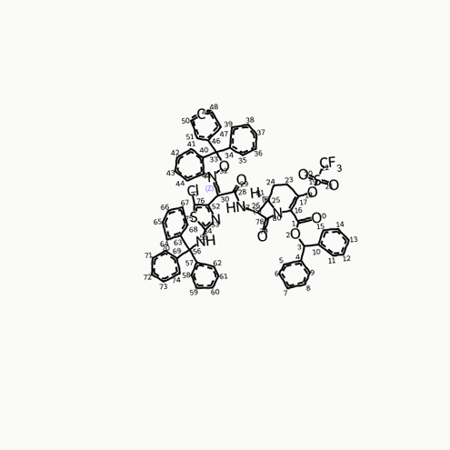 O=C(OC(c1ccccc1)c1ccccc1)C1=C(OS(=O)(=O)C(F)(F)F)CC[C@@H]2[C@H](NC(=O)/C(=N\OC(c3ccccc3)(c3ccccc3)c3ccccc3)c3nc(NC(c4ccccc4)(c4ccccc4)c4ccccc4)sc3Cl)C(=O)N12